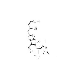 Cn1c(Cc2ccn(N)n2)c(/C=N\NC=O)c2sc(CC(=N)/C=C\N)nc21